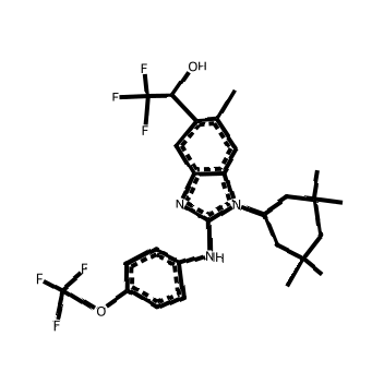 Cc1cc2c(cc1C(O)C(F)(F)F)nc(Nc1ccc(OC(F)(F)F)cc1)n2C1CC(C)(C)CC(C)(C)C1